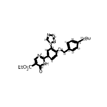 CCOC(=O)c1cnc(-c2ccc(OCc3ccc(C(C)(C)C)cc3)c(-n3cnnn3)c2)[nH]c1=O